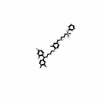 Cc1ccc(C(CCCCOc2ccc(CNCCCP(C)(=O)Oc3ccccc3)cc2C)c2ccc(F)cc2F)cc1C